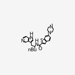 CCCCC(Cc1c[nH]c2ccncc12)NC(=O)c1cc2ccc(N3CCN(C)CC3)cc2s1